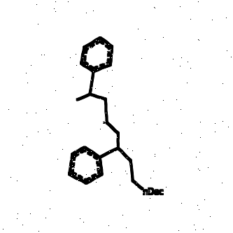 CCCCCCCCCCCCC(C[CH]CC(C)c1ccccc1)c1ccccc1